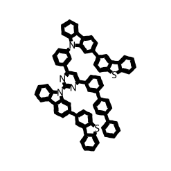 c1ccc(-c2ccc(-c3cccc(-c4cc(-c5cccc(-n6c7ccccc7c7ccc(-c8ccc9sc%10ccccc%10c9c8)cc76)c5)nc(-n5c6ccccc6c6ccc(-c7ccc8sc9ccccc9c8c7)cc65)n4)c3)cc2)cc1